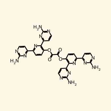 Nc1nccc(-c2ccc(OC(=O)C(=O)Oc3ccc(-c4ccnc(N)n4)nc3-c3ccnc(N)n3)c(-c3ccnc(N)n3)n2)n1